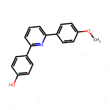 COc1ccc(-c2cccc(-c3ccc(O)cc3)n2)cc1